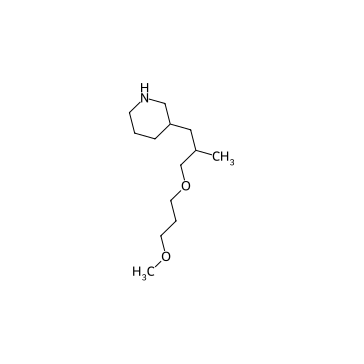 COCCCOCC(C)CC1CCCNC1